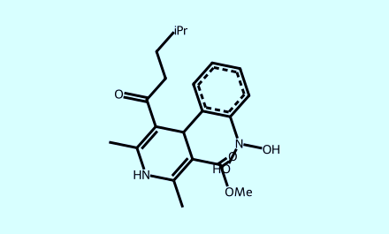 COC(=O)C1=C(C)NC(C)=C(C(=O)CCC(C)C)C1c1ccccc1N(O)O